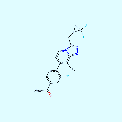 COC(=O)c1ccc(-c2ccn3c(CC4CC4(F)F)nnc3c2C(F)(F)F)c(F)c1